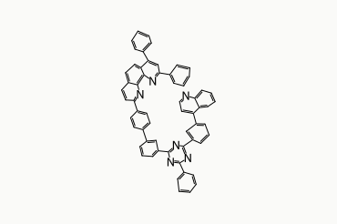 c1ccc(-c2cc(-c3ccccc3)c3ccc4ccc(-c5ccc(-c6cccc(-c7nc(-c8ccccc8)nc(-c8cccc(-c9ccnc%10ccccc9%10)c8)n7)c6)cc5)nc4c3n2)cc1